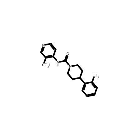 O=C(O)c1cnccc1NC(=O)N1CCC(c2ccccc2C(F)(F)F)CC1